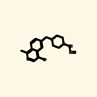 Cc1ncc(Br)c2cc(CN3CCN(BC=O)CC3)ccc12